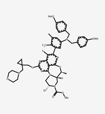 CC[C@@H]1CN2c3nc(OCC4(CN5CCOCC5)CC4)nc4c(F)c(-c5cc(N(Cc6ccc(OC)cc6)Cc6ccc(OC)cc6)cc(C)c5C(F)(F)F)nc(c34)O[C@@H](C)[C@@H]2CN1C(=O)OC(C)(C)C